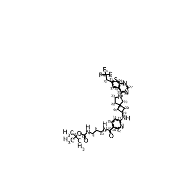 CC(C)(C)OC(=O)NCCCNC(=O)c1ccc(NC2CC3(CCN(c4ncnc5sc(CC(F)(F)F)cc45)C3)C2)nc1